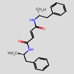 O=C(/C=C/C(=O)N[C@@H](Cc1ccccc1)C(=O)O)N[C@@H](Cc1ccccc1)C(=O)O